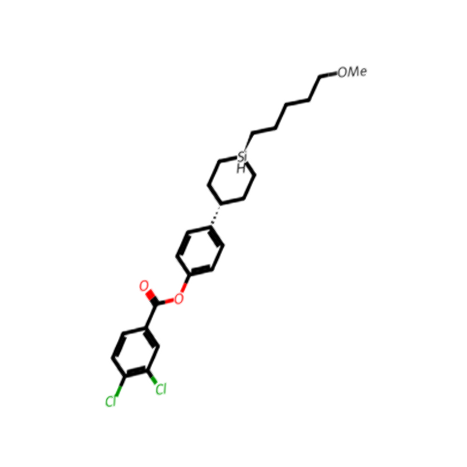 COCCCCC[Si@H]1CC[C@H](c2ccc(OC(=O)c3ccc(Cl)c(Cl)c3)cc2)CC1